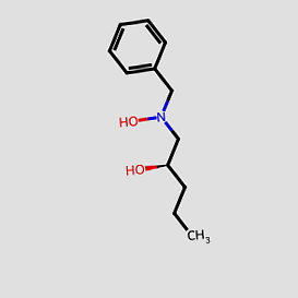 CCC[C@@H](O)CN(O)Cc1ccccc1